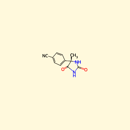 C[C@@]1(c2ccc(C#N)cc2)NC(=O)NC1=O